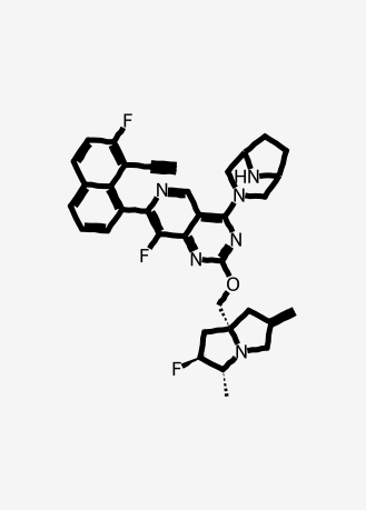 C#Cc1c(F)ccc2cccc(-c3ncc4c(N5CC6CCC(C5)N6)nc(OC[C@]56CC(=C)CN5[C@H](C)[C@@H](F)C6)nc4c3F)c12